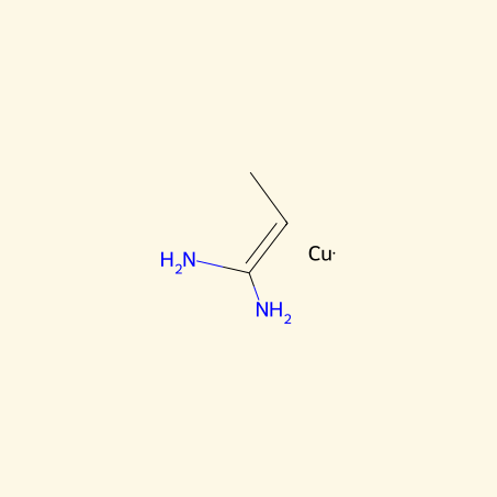 CC=C(N)N.[Cu]